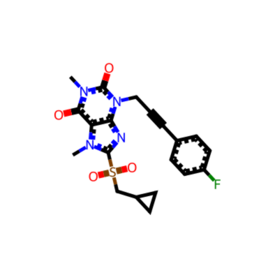 Cn1c(=O)c2c(nc(S(=O)(=O)CC3CC3)n2C)n(CC#Cc2ccc(F)cc2)c1=O